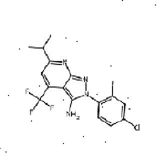 Cc1cc(Cl)ccc1-n1nc2nc(C(C)C)cc(C(F)(F)F)c2c1N